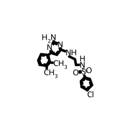 Cc1cccc(-c2cc(NCCCNS(=O)(=O)c3ccc(Cl)cc3)nc(N)n2)c1C